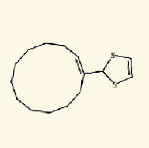 C1=CSC(C2=CCCCCCCCCCC2)S1